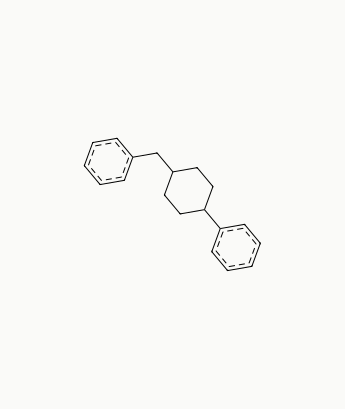 c1ccc(CC2CCC(c3ccccc3)CC2)cc1